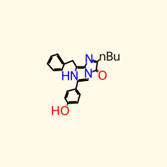 CCCCc1nc2c(Cc3ccccc3)[nH]c(-c3ccc(O)cc3)cn-2c1=O